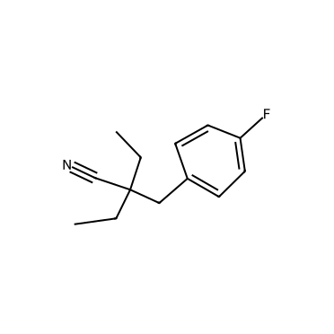 CCC(C#N)(CC)Cc1ccc(F)cc1